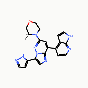 C[C@@H]1COCCN1c1cc(-c2ccnc3[nH]ccc23)c2ncc(-c3ccn[nH]3)n2n1